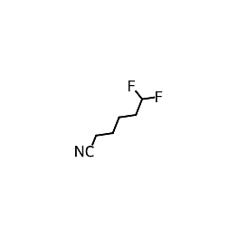 N#CCCCCC(F)F